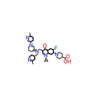 Cc1ccc(N2CCC[C@H](N(Cc3ccnc(C)c3)Cc3cn(C4CC4)c4cc(N5CCC(C(=O)O)CC5)c(F)cc4c3=O)C2)cn1